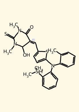 Cc1ccccc1N(c1ccc(/C=C2/C(=O)N(C)C(=S)N(C)C2O)s1)c1ccccc1[SiH](C)C